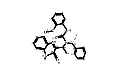 CCOc1ccccc1NC(=O)N(C(C)c1nc2ccccc2n(C)c1=O)[C@H](C)c1ccccc1